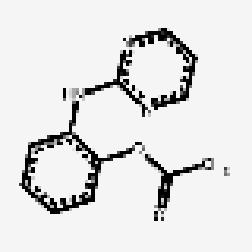 CC(=O)Oc1ccccc1Nc1ncccn1